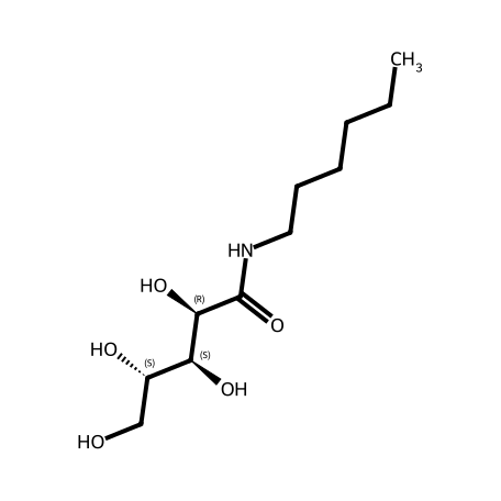 CCCCCCNC(=O)[C@H](O)[C@@H](O)[C@@H](O)CO